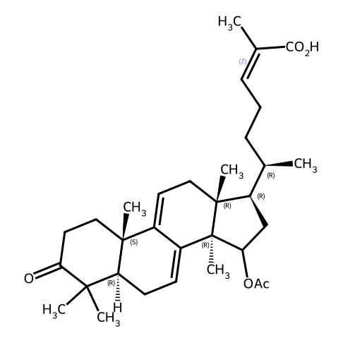 CC(=O)OC1C[C@H]([C@H](C)CC/C=C(/C)C(=O)O)[C@@]2(C)CC=C3C(=CC[C@H]4C(C)(C)C(=O)CC[C@]34C)[C@]12C